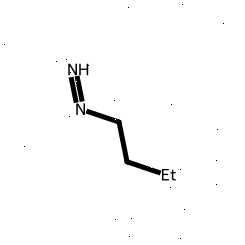 CCCCN=N